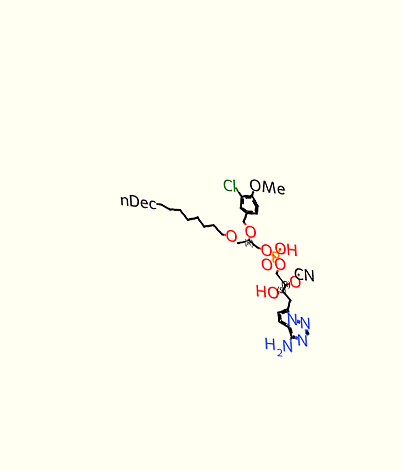 CCCCCCCCCCCCCCCCCCOC[C@H](COP(=O)(O)OC[C@@H](OC#N)[C@@H](O)Cc1ccc2c(N)ncnn12)OCc1ccc(OC)c(Cl)c1